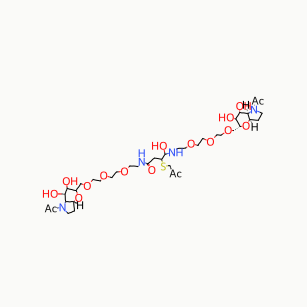 CC(=O)CSC(CC(=O)NCCOCCOCCOCC1O[C@@H]2CCN(C(C)=O)C2[C@@H](O)[C@H]1O)C(O)NCCOCCOCCOC[C@H]1O[C@@H]2CCN(C(C)=O)[C@@H]2[C@@H](O)[C@H]1O